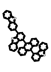 c1ccc2c(c1)oc1cc(-c3ccc(-c4c5ccccc5c(-c5cccc6oc7ccccc7c56)c5ccccc45)c4c3oc3ccccc34)ccc12